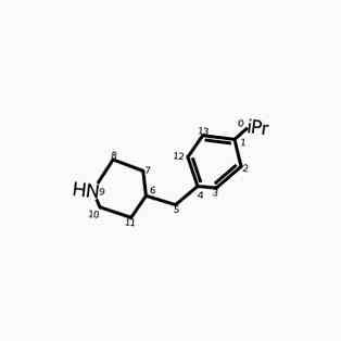 CC(C)c1ccc(CC2CCNCC2)cc1